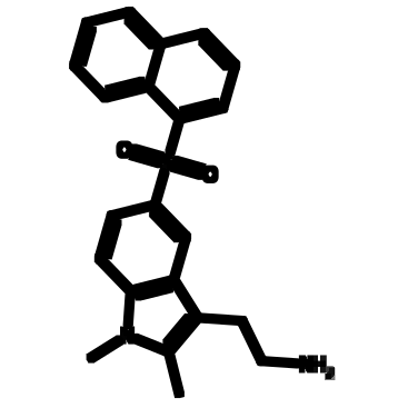 Cc1c(CCN)c2cc(S(=O)(=O)c3cccc4ccccc34)ccc2n1C